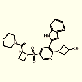 O=C([C@@H]1CCN1S(=O)(=O)c1cnc(N2CC(O)C2)c(-c2cc3ccccc3[nH]2)c1)N1CCOCC1